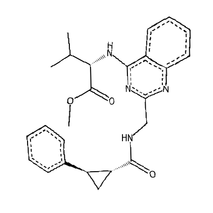 COC(=O)[C@@H](Nc1nc(CNC(=O)[C@@H]2C[C@H]2c2ccccc2)nc2ccccc12)C(C)C